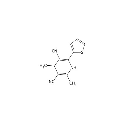 [C-]#[N+]C1=C(c2cccs2)NC(C)=C(C#N)[C@H]1C